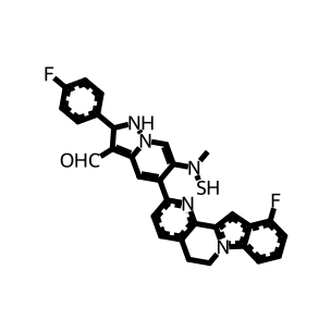 CN(S)C1=CN2NC(c3ccc(F)cc3)C(C=O)=C2C=C1c1ccc2c(n1)-c1cc3c(F)cccc3n1CC2